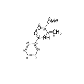 C=C(NC(=O)c1ccccc1)C(=O)OC